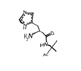 CC(=O)C(C)(C)NC(=O)C(N)Cc1cnc[nH]1